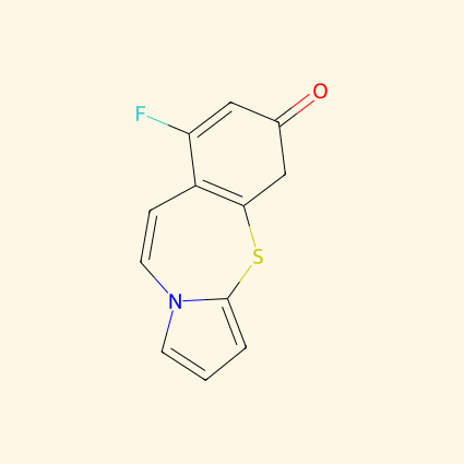 O=C1C=C(F)C2=C(C1)Sc1cccn1C=C2